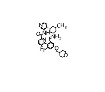 C[C@@H]1C[C@H](N)C[C@H](c2ccncc2NC(=O)c2ccc(F)c(-c3c(F)cc(OCC4CCOCC4)cc3F)n2)C1